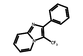 FC(F)(F)c1c(-c2ccccc2)nc2ccccn12